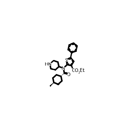 CCOC(=O)c1cc(-c2ccccc2)sc1N(C(=O)[C@H]1CC[C@H](C)CC1)C1CCNCC1